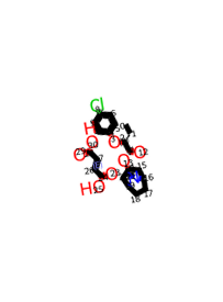 CC[C@@H](Oc1ccc(Cl)cc1)C(=O)OC1CC2CCC(C1)N2C.O=C(O)/C=C/C(=O)O